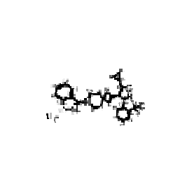 Cn1nc(N2CCC3(C=C(c4c(-c5ccccc5C(F)(F)F)noc4C4CC4)C3)CC2)c2ccccc21